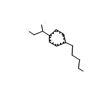 CC(CN)c1ccc(CCCCO)cc1